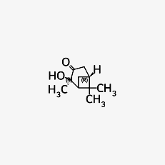 CC1(C)C2C[C@@H]1CC(=O)[C@]2(C)O